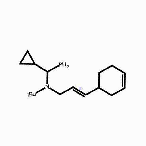 CC(C)(C)N(C/C=C/C1CC=CCC1)C(P)C1CC1